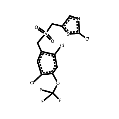 O=S(=O)(Cc1cnc(Cl)s1)Cc1cc(Cl)c(OC(F)(F)F)cc1Cl